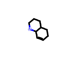 C1=CC2[N]CCCC2CC1